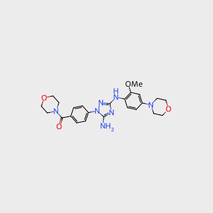 COc1cc(N2CCOCC2)ccc1Nc1nc(N)n(-c2ccc(C(=O)N3CCOCC3)cc2)n1